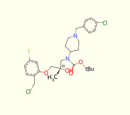 CC(C)(C)OC(=O)N(C[C@](C)(O)COc1cc(F)ccc1CCl)C1CCN(Cc2ccc(Cl)cc2)CC1